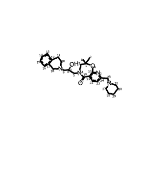 CC1(C)CN(C[C@H](O)CN2CCc3ccccc3C2)C(=O)c2ccc(CN3CCCCC3)nc2O1